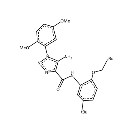 CCC(C)COc1ccc(C(C)(C)C)cc1NC(=O)c1nnn(-c2cc(OC)ccc2OC)c1C